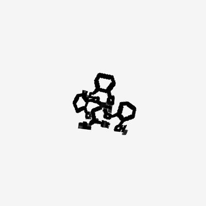 CCCCC(CC)C[PH](Oc1ccccc1C)(Oc1ccccc1C)Oc1ccccc1C